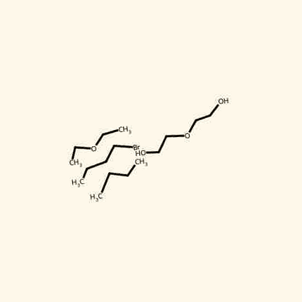 CCCC.CCCCBr.CCOCC.OCCOCCO